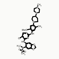 COc1cc(N2CCC(N3CCN(C)CC3)CC2)c(C)cc1Nc1ncc(Cl)c(Nc2cc3c(cc2N(C)S(C)(=O)=O)OCO3)n1